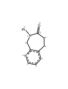 CC(C)N1Cc2ncccc2CCC1=O